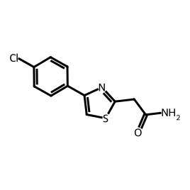 NC(=O)Cc1nc(-c2ccc(Cl)cc2)cs1